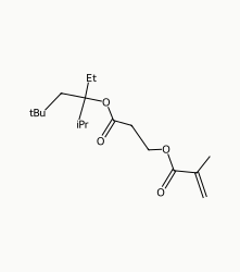 C=C(C)C(=O)OCCC(=O)OC(CC)(CC(C)(C)C)C(C)C